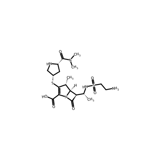 C[C@@H](NS(=O)(=O)CCN)[C@H]1C(=O)N2C(C(=O)O)=C(S[C@@H]3CN[C@H](C(=O)N(C)C)C3)[C@H](C)[C@@H]12